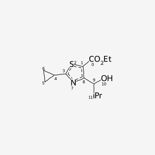 CCOC(=O)c1sc(C2CC2)nc1C(O)C(C)C